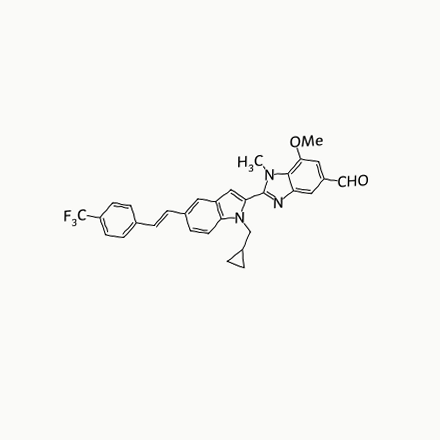 COc1cc(C=O)cc2nc(-c3cc4cc(/C=C/c5ccc(C(F)(F)F)cc5)ccc4n3CC3CC3)n(C)c12